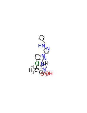 CC(C)(C)[C@]12C[C@@H](CN1C(=O)O)N(c1nn(-c3ccnc(NCc4ccccc4)c3)c3cccc(Cl)c13)C2